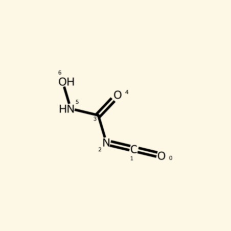 O=C=NC(=O)NO